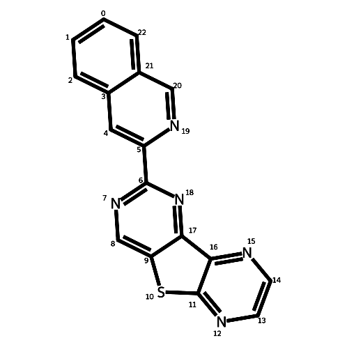 c1ccc2cc(-c3ncc4sc5nccnc5c4n3)ncc2c1